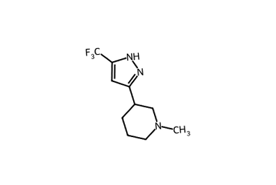 CN1CCCC(c2cc(C(F)(F)F)[nH]n2)C1